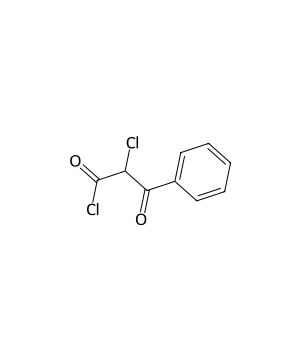 O=C(Cl)C(Cl)C(=O)c1ccccc1